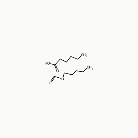 CCCCCC(=O)O.CCCCCOC=O